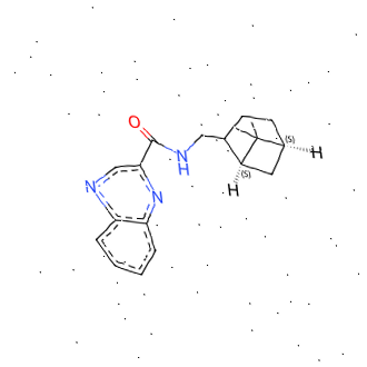 CC1(C)[C@H]2CCC(CNC(=O)c3cnc4ccccc4n3)[C@@H]1C2